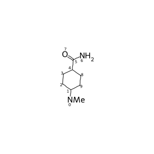 CNC1CCC(C(N)=O)CC1